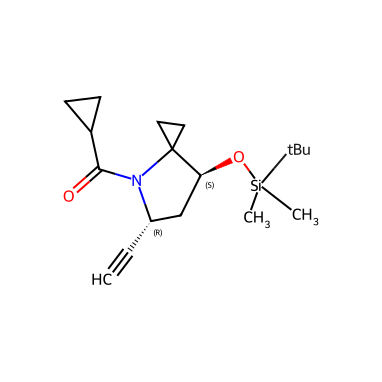 C#C[C@H]1C[C@H](O[Si](C)(C)C(C)(C)C)C2(CC2)N1C(=O)C1CC1